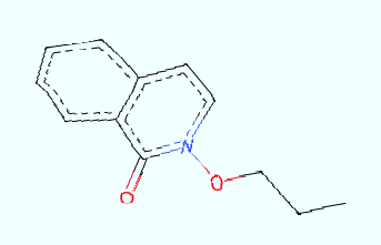 CCCOn1ccc2ccccc2c1=O